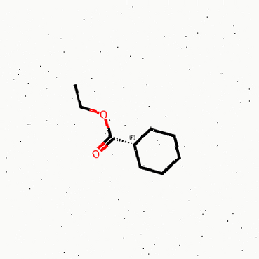 CCOC(=O)[C@@H]1[CH]CCCC1